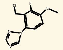 COc1ccc(-n2cnnn2)c(CCl)c1F